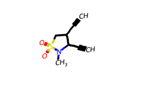 C#CC1CS(=O)(=O)N(C)C1C#C